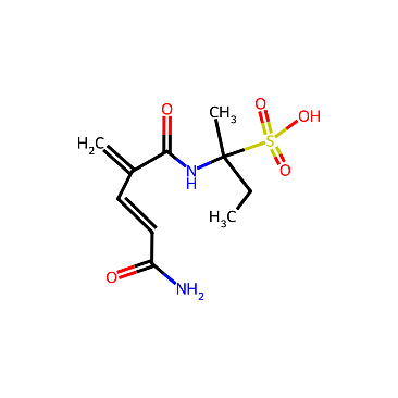 C=C(C=CC(N)=O)C(=O)NC(C)(CC)S(=O)(=O)O